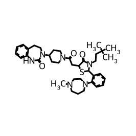 CN1CCCN(c2ccccc2C2SC(CC(=O)N3CCC(N4CCc5ccccc5NC4=O)CC3)C(=O)N2CCC(C)(C)C)CC1